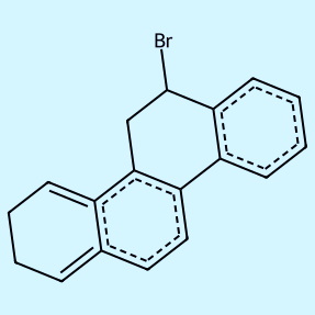 BrC1Cc2c(ccc3c2=CCCC=3)-c2ccccc21